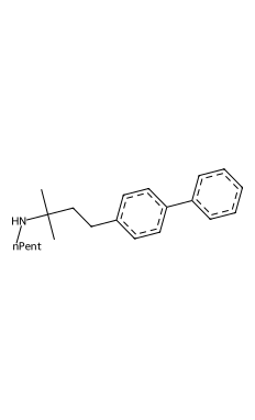 CCCCCNC(C)(C)CCc1ccc(-c2ccccc2)cc1